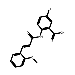 COc1ccccc1/C=C/C(=O)Nc1ccc(Cl)cc1C(=O)O